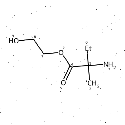 CCC(C)(N)C(=O)OCCO